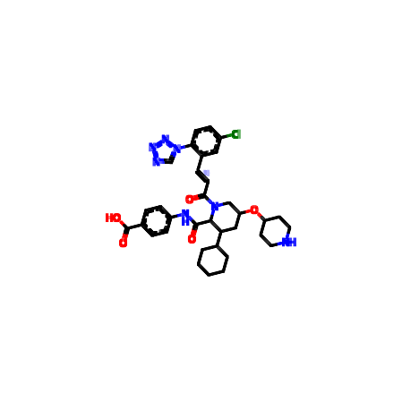 O=C(O)c1ccc(NC(=O)C2C(C3CCCCC3)CC(OC3CCNCC3)CN2C(=O)/C=C/c2cc(Cl)ccc2-n2cnnn2)cc1